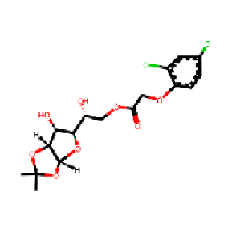 CC1(C)O[C@H]2O[C@H]([C@H](O)COC(=O)COc3ccc(Cl)cc3Cl)[C@H](O)[C@H]2O1